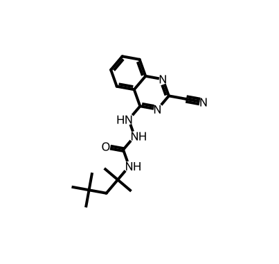 CC(C)(C)CC(C)(C)NC(=O)NNc1nc(C#N)nc2ccccc12